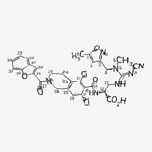 Cc1cc(CN(C)C(=NC#N)NC[C@H](NC(=O)c2c(Cl)cc3c(c2Cl)CCN(C(=O)c2cc4ccccc4o2)C3)C(=O)O)no1